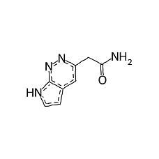 NC(=O)Cc1cc2cc[nH]c2nn1